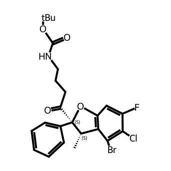 C[C@H]1c2c(cc(F)c(Cl)c2Br)O[C@]1(C(=O)CCCNC(=O)OC(C)(C)C)c1ccccc1